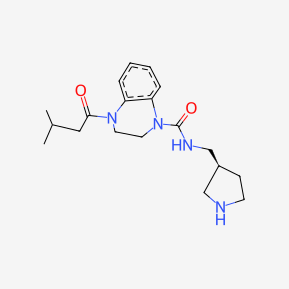 CC(C)CC(=O)N1CCN(C(=O)NC[C@H]2CCNC2)c2ccccc21